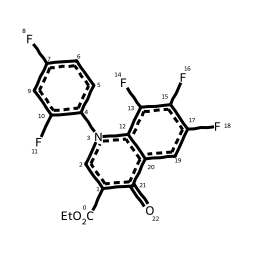 CCOC(=O)c1cn(-c2ccc(F)cc2F)c2c(F)c(F)c(F)cc2c1=O